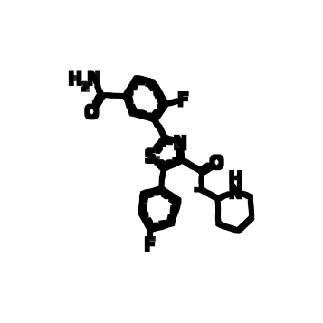 NC(=O)c1ccc(F)c(-c2nc(C(=O)[CH]C3CCCCN3)c(-c3ccc(F)cc3)s2)c1